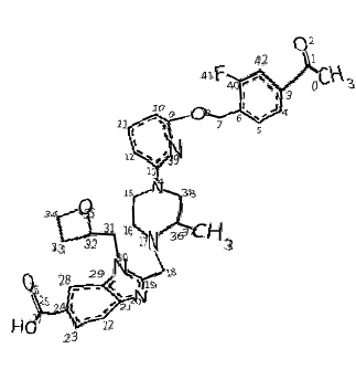 CC(=O)c1ccc(COc2cccc(N3CCN(Cc4nc5ccc(C(=O)O)cc5n4CC4CCO4)C(C)C3)n2)c(F)c1